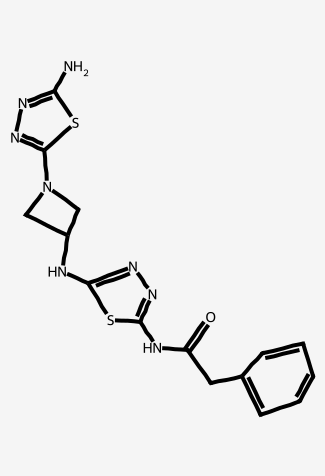 Nc1nnc(N2CC(Nc3nnc(NC(=O)Cc4ccccc4)s3)C2)s1